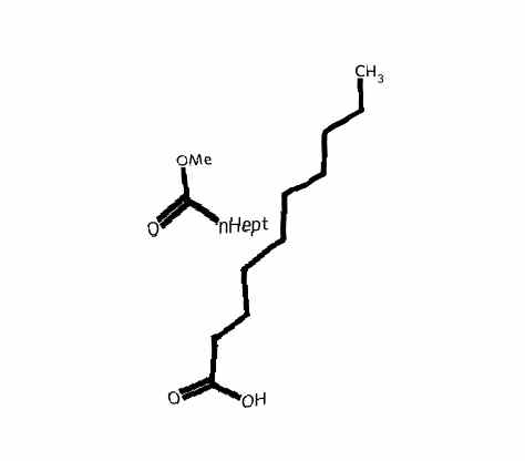 CCCCCCCC(=O)OC.CCCCCCCCCC(=O)O